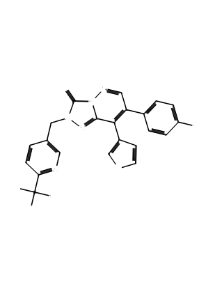 O=c1n(Cc2ccc(C(F)(F)F)nc2)nc2c(-c3ccsc3)c(-c3ccc(Cl)cc3)cnn12